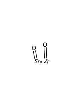 [O]=[Sn].[O]=[Zr]